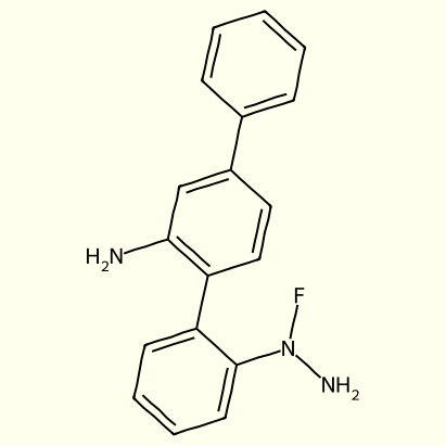 Nc1cc(-c2ccccc2)ccc1-c1ccccc1N(N)F